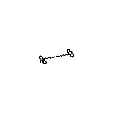 c1ccc2c(CCCCCCCCCCCCCCCCc3c4ccccc4nc4ccccc34)c3ccccc3nc2c1